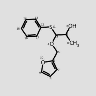 CC(O)C(OCc1ccco1)Sc1ccccc1